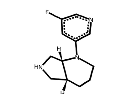 Fc1cncc(N2CCC[C@@H]3CNC[C@@H]32)c1